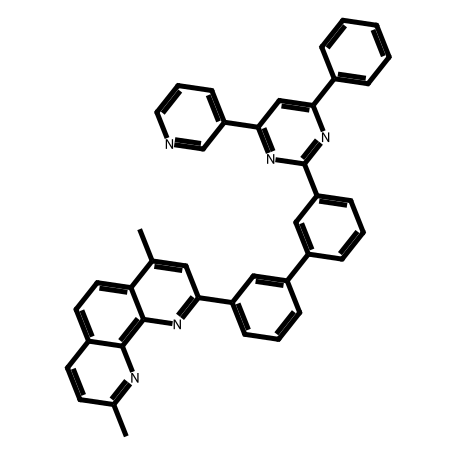 Cc1ccc2ccc3c(C)cc(-c4cccc(-c5cccc(-c6nc(-c7ccccc7)cc(-c7cccnc7)n6)c5)c4)nc3c2n1